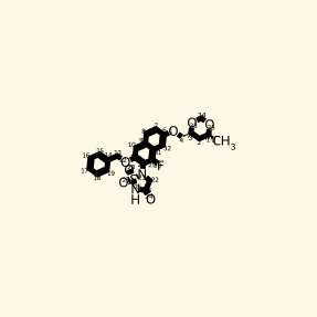 C[C@H]1C[C@H](COc2ccc3cc(OCc4ccccc4)c(N4CC(=O)NS4(=O)=O)c(F)c3c2)OCO1